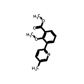 COC(=O)c1cccc(-c2ccc(C)cn2)c1OC